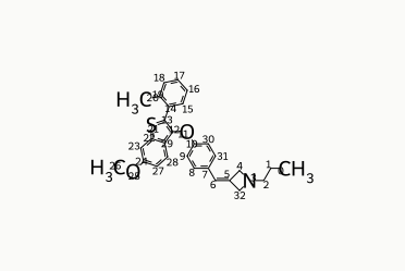 CCCN1CC(=Cc2ccc(Oc3c(-c4ccccc4C)sc4cc(OC)ccc34)cc2)C1